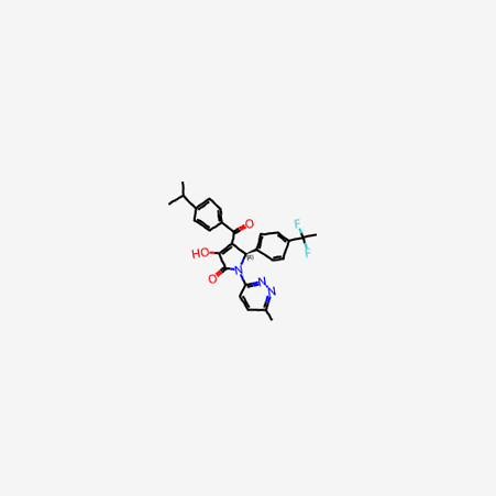 Cc1ccc(N2C(=O)C(O)=C(C(=O)c3ccc(C(C)C)cc3)[C@H]2c2ccc(C(C)(F)F)cc2)nn1